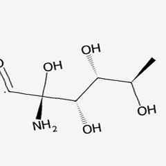 C[C@@H](O)[C@@H](O)[C@H](O)[C@@](N)(O)[C]=O